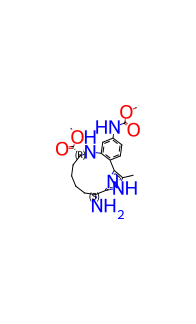 COC(=O)Nc1ccc2c(c1)N[C@@H](C(=O)OC)CCCC[C@H](N)c1nc-2c(C)[nH]1